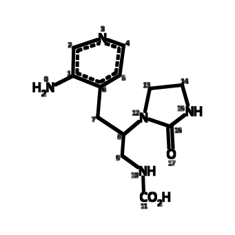 Nc1cnccc1CC(CNC(=O)O)N1CCNC1=O